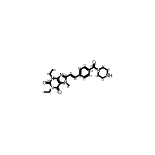 CCn1c(=O)c2c(nc(C=Cc3ccc(C(=O)N4CCNCC4)cc3)n2C)n(CC)c1=O